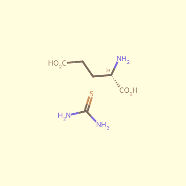 NC(N)=S.N[C@@H](CCC(=O)O)C(=O)O